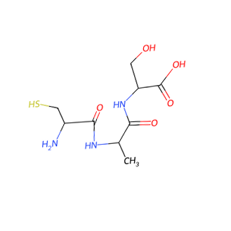 CC(NC(=O)C(N)CS)C(=O)NC(CO)C(=O)O